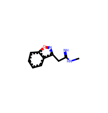 CNC(=N)Cc1noc2ccccc12